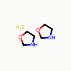 C1COCN1.C1COCN1.S